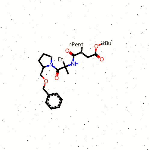 CCCCCC(CC(=O)OC(C)(C)C)C(=O)NC(C)(CC)C(=O)N1CCCC1COCc1ccccc1